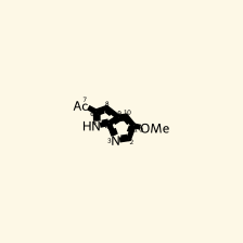 COc1cnc2[nH]c(C(C)=O)cc2c1